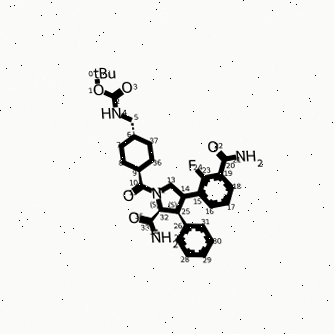 CC(C)(C)OC(=O)NC[C@H]1CC[C@H](C(=O)N2CC(c3cccc(C(N)=O)c3F)[C@@H](c3ccccc3)[C@H]2C(N)=O)CC1